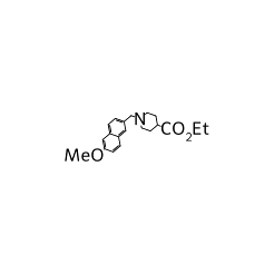 CCOC(=O)C1CCN(Cc2ccc3cc(OC)ccc3c2)CC1